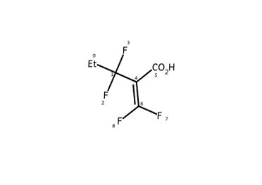 CCC(F)(F)C(C(=O)O)=C(F)F